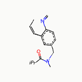 C=Nc1ccc(CN(C)C(=O)C(C)C)cc1/C=C\C